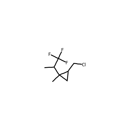 CC(C(F)(F)F)C1(C)CC1CCl